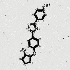 Oc1ccc(-c2nc(-c3ccc(OC4CCC=C4Br)cc3)no2)cc1